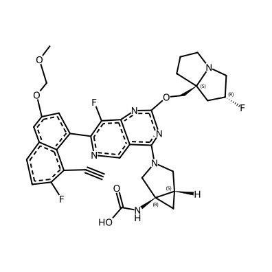 C#Cc1c(F)ccc2cc(OCOC)cc(-c3ncc4c(N5C[C@@H]6C[C@]6(NC(=O)O)C5)nc(OC[C@@]56CCCN5C[C@H](F)C6)nc4c3F)c12